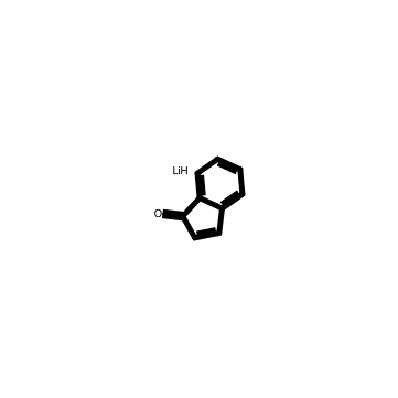 O=C1C=Cc2ccccc21.[LiH]